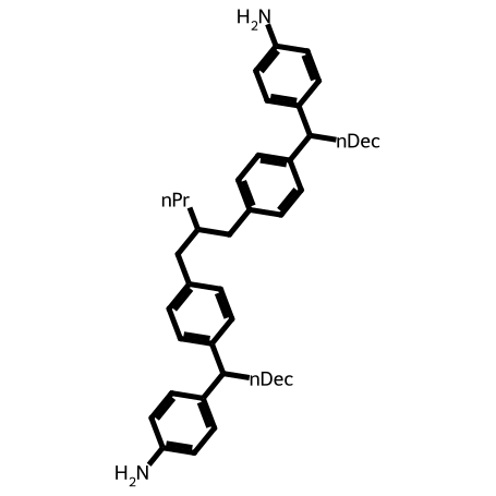 CCCCCCCCCCC(c1ccc(N)cc1)c1ccc(CC(CCC)Cc2ccc(C(CCCCCCCCCC)c3ccc(N)cc3)cc2)cc1